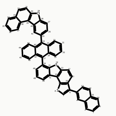 c1ccc2cc(-c3csc4c3ccc3sc5c(-c6c7ccccc7c(-c7ccc8oc9ccc%10ccccc%10c9c8c7)c7ccccc67)cccc5c34)ccc2c1